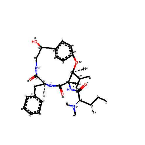 CC[C@H](C)[C@@H](C(=O)N[C@@H]1C(=O)N[C@@H](Cc2ccccc2)C(=O)NCC(O)c2ccc(cc2)O[C@H]1C(C)C)N(C)C